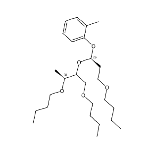 CCCCOCC[C@H](Oc1ccccc1C)OC(COCCCC)[C@H](C)OCCCC